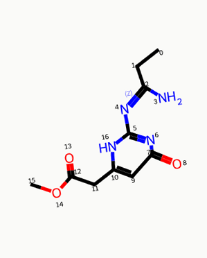 CC/C(N)=N/c1nc(=O)cc(CC(=O)OC)[nH]1